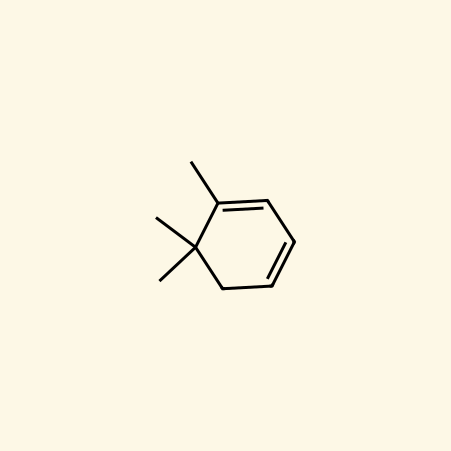 CC1=CC=CCC1(C)C